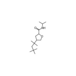 CC(C)NC(=O)C1CC(C(C)(C)CC(C)(C)C)CO1